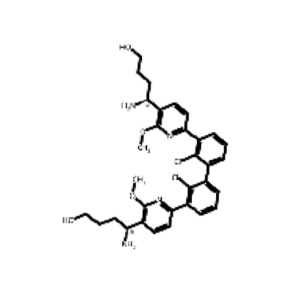 COc1nc(-c2cccc(-c3cccc(-c4ccc([C@@H](N)CCCO)c(OC)n4)c3Cl)c2Cl)ccc1[C@@H](N)CCCO